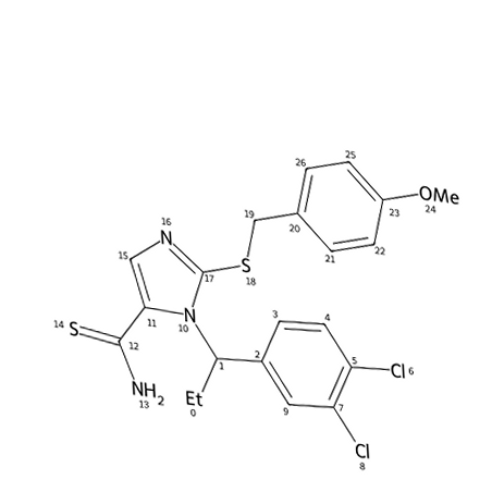 CCC(c1ccc(Cl)c(Cl)c1)n1c(C(N)=S)cnc1SCc1ccc(OC)cc1